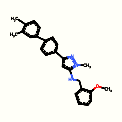 COc1ccccc1CNc1cc(-c2ccc(-c3ccc(C)c(C)c3)cc2)nn1C